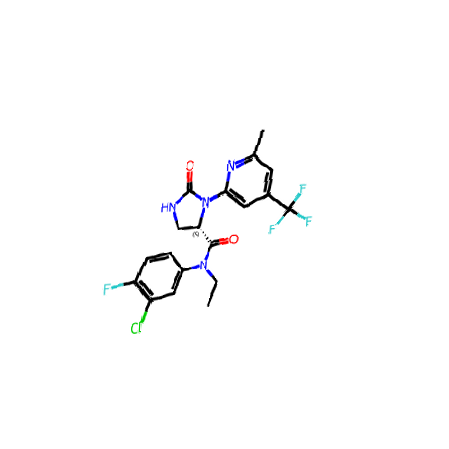 CCN(C(=O)[C@@H]1CNC(=O)N1c1cc(C(F)(F)F)cc(C)n1)c1ccc(F)c(Cl)c1